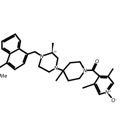 COCc1ccc(CN2CCN(C3(C)CCN(C(=O)c4c(C)c[n+]([O-])cc4C)CC3)C[C@@H]2C)c2ccccc12